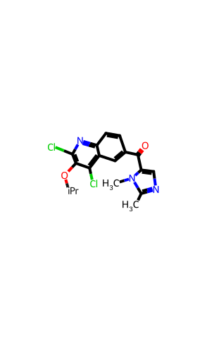 Cc1ncc(C(=O)c2ccc3nc(Cl)c(OC(C)C)c(Cl)c3c2)n1C